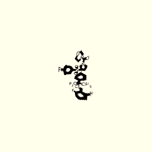 O=C(N1CCOCC1)N1CC[C@@](c2ccc(C(OCc3c(F)cccc3F)(C(F)(F)F)C(F)(F)F)cc2)(S(=O)(=O)c2ccc(F)cc2)C1